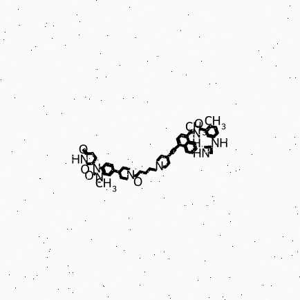 Cc1ccc(NC2CNC2)cc1C(=O)N[C@@H](C)c1ccc(C#CC2CCN(CCCCC(=O)N3CCC(c4ccc5c(c4)n(C)c(=O)n5C4CCC(=O)NC4=O)CC3)CC2)c2ccccc12